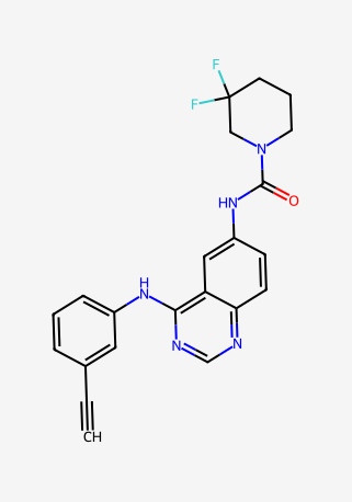 C#Cc1cccc(Nc2ncnc3ccc(NC(=O)N4CCCC(F)(F)C4)cc23)c1